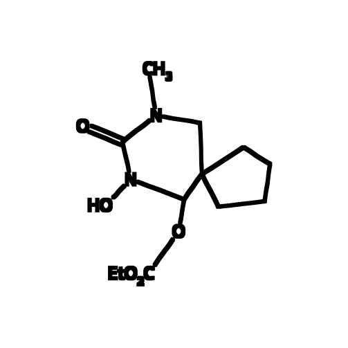 CCOC(=O)OC1N(O)C(=O)N(C)CC12CCCC2